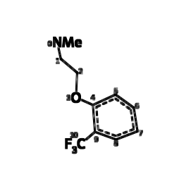 CNCCOc1ccccc1C(F)(F)F